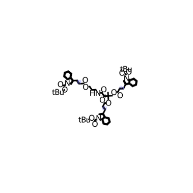 CC(C)(C)OC(=O)n1cc(/C=C/C(=O)OCCCNC(=O)[C@H](OC(=O)/C=C/c2cn(C(=O)OC(C)(C)C)c3ccccc23)C(C)(C)COC(=O)/C=C/c2cn(C(=O)OC(C)(C)C)c3ccccc23)c2ccccc21